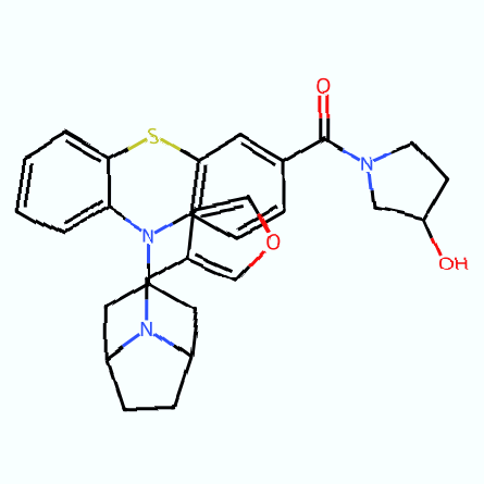 O=C(c1ccc2c(c1)Sc1ccccc1N2C1CC2CCC(C1)N2Cc1ccoc1)N1CCC(O)C1